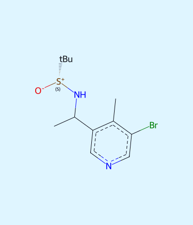 Cc1c(Br)cncc1C(C)N[S@+]([O-])C(C)(C)C